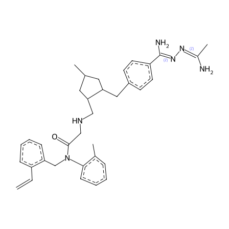 C=Cc1ccccc1CN(C(=O)CNCC1CC(C)CC1Cc1ccc(/C(N)=N/N=C(/C)N)cc1)c1ccccc1C